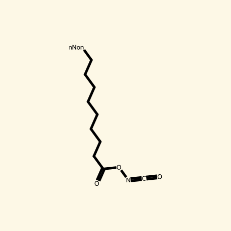 CCCCCCCCCCCCCCCCCC(=O)ON=C=O